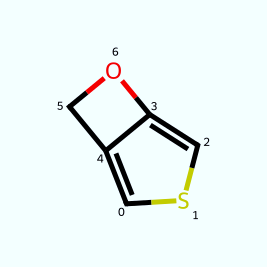 c1scc2c1CO2